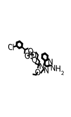 CCCCC(C)(COCP1(=O)OCC(c2cccc(Cl)c2)CO1)n1c(COCC)nc2c(N)nc3ccccc3c21